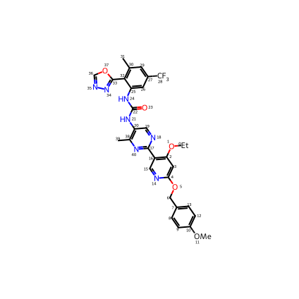 CCOc1cc(OCc2ccc(OC)cc2)ncc1-c1ncc(NC(=O)Nc2cc(C(F)(F)F)cc(C)c2-c2nnco2)c(C)n1